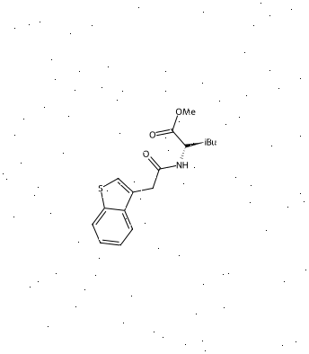 CC[C@H](C)[C@H](NC(=O)Cc1csc2ccccc12)C(=O)OC